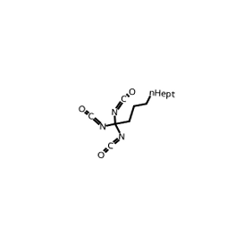 [CH2]CCCCCCCCCC(N=C=O)(N=C=O)N=C=O